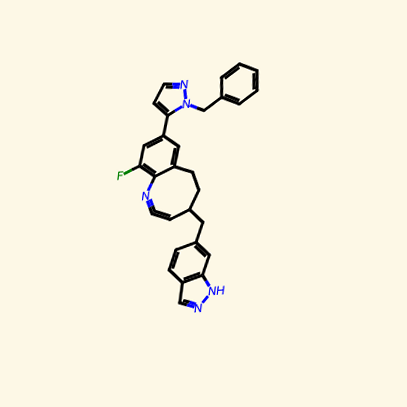 Fc1cc(-c2ccnn2Cc2ccccc2)cc2c1N=C=CC(Cc1ccc3cn[nH]c3c1)CC2